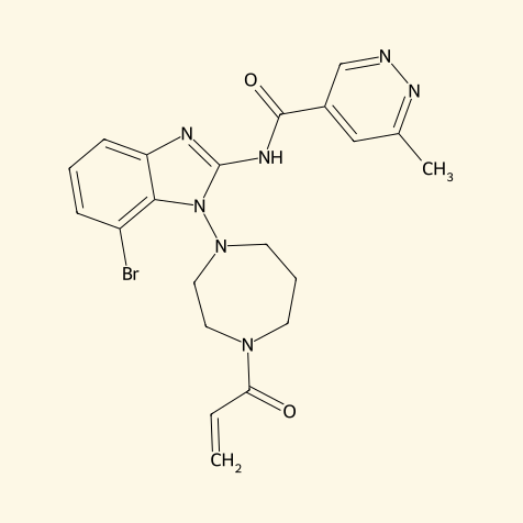 C=CC(=O)N1CCCN(n2c(NC(=O)c3cnnc(C)c3)nc3cccc(Br)c32)CC1